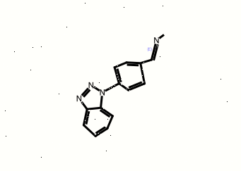 C/N=C/c1ccc(-n2nnc3ccccc32)cc1